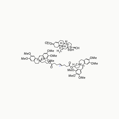 C#C[C@]1(O)CC[C@H]2[C@@H]3CCC4=CC(=O)CC[C@@H]4[C@H]3C(=C)C[C@@]21CC.COc1cc2c(cc1OC)[C@@H](Cc1cc(OC)c(OC)c(OC)c1)[N+](C)(CCCOC(=O)CC/C=C/CCC(=O)OCCC[N+]1(C)CCc3cc(OC)c(OC)cc3[C@H]1Cc1cc(OC)c(OC)c(OC)c1)CC2.[Cl-].[Cl-]